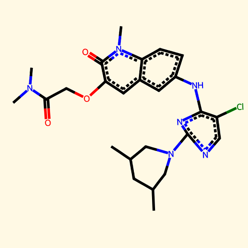 CC1CC(C)CN(c2ncc(Cl)c(Nc3ccc4c(c3)cc(OCC(=O)N(C)C)c(=O)n4C)n2)C1